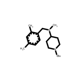 Cc1ccc(CN(C)C2CCN(C(C)(C)C)CC2)c(C)c1